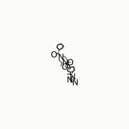 CC1CN(C(=O)c2ccccc2)CCN1S(=O)(=O)c1ccc(-n2cncn2)s1